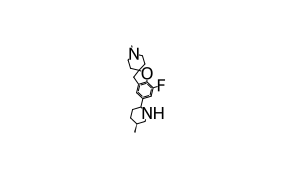 C[C@H]1CCC(c2cc(F)c3c(c2)CC2(CCN(C)CC2)O3)NC1